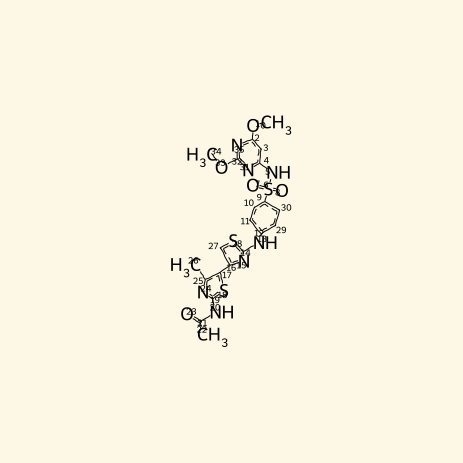 COc1cc(NS(=O)(=O)c2ccc(Nc3nc(-c4sc(NC(C)=O)nc4C)cs3)cc2)nc(OC)n1